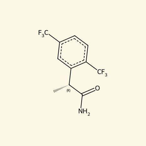 C[C@@H](C(N)=O)c1cc(C(F)(F)F)ccc1C(F)(F)F